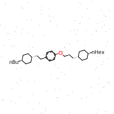 CCCCCC[C@H]1CC[C@H](CCCOc2ccc(CC[C@H]3CC[C@H](CCCC)CC3)cc2)CC1